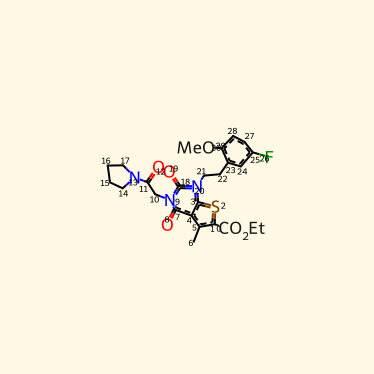 CCOC(=O)c1sc2c(c1C)c(=O)n(CC(=O)N1CCCC1)c(=O)n2CCc1cc(F)ccc1OC